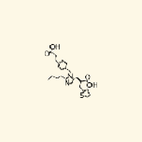 CCCCc1ncc(/C=C(\Cc2cccs2)C(=O)O)n1Cc1ccc(C=CC(=O)O)cc1